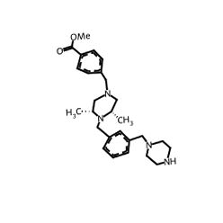 COC(=O)c1ccc(CN2C[C@@H](C)N(Cc3cccc(CN4CCNCC4)c3)[C@@H](C)C2)cc1